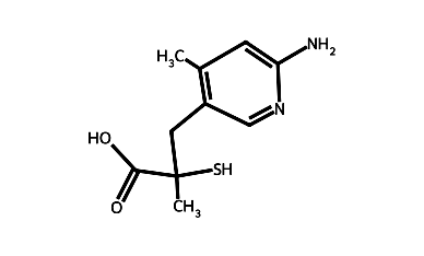 Cc1cc(N)ncc1CC(C)(S)C(=O)O